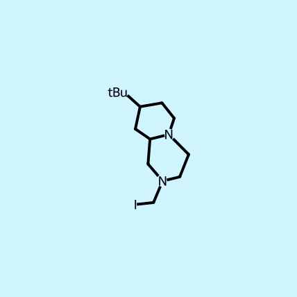 CC(C)(C)C1CCN2CCN(CI)CC2C1